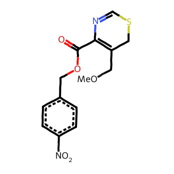 COCC1=C(C(=O)OCc2ccc([N+](=O)[O-])cc2)N=CSC1